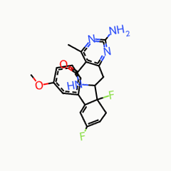 COc1cccc(C2=CC(F)=CCC2(F)C2Cc3nc(N)nc(C)c3C(=O)N2)c1